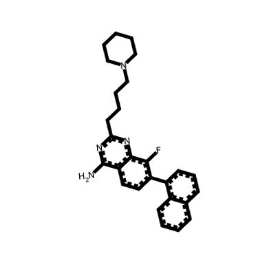 Nc1nc(CCCCN2CCCCC2)nc2c(F)c(-c3cccc4ccccc34)ccc12